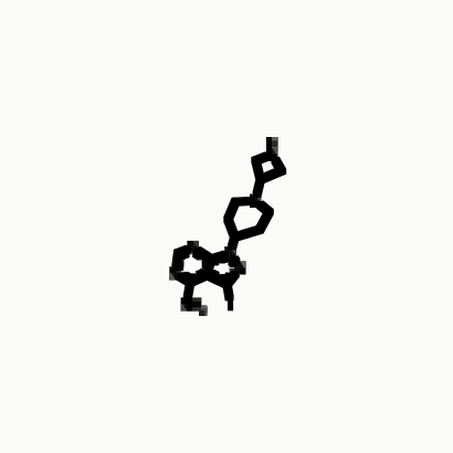 Nc1ncnc2c1c(I)nn2C1CCN(C2CNC2)CC1